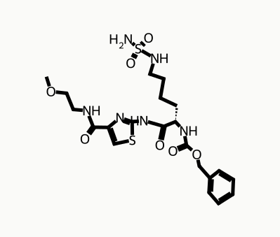 COCCNC(=O)c1csc(NC(=O)[C@H](CCCCNS(N)(=O)=O)NC(=O)OCc2ccccc2)n1